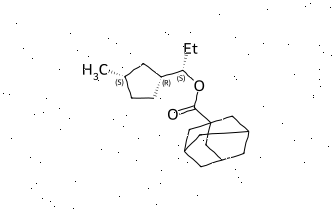 CC[C@H](OC(=O)C12CC3CC(CC(C3)C1)C2)[C@@H]1CC[C@H](C)C1